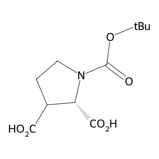 CC(C)(C)OC(=O)N1CCC(C(=O)O)[C@H]1C(=O)O